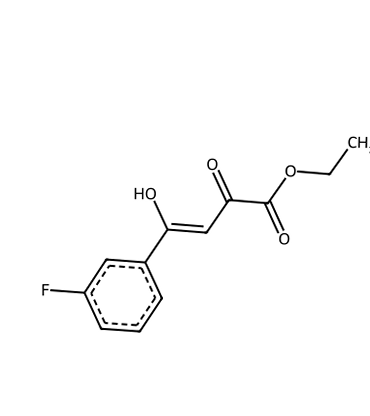 CCOC(=O)C(=O)/C=C(\O)c1cccc(F)c1